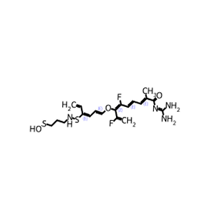 C=C/C(=C\C=C\O/C(C(=C)F)=C(F)/C=C/C=C(\C)C(=O)N=C(N)N)SNCCCSO